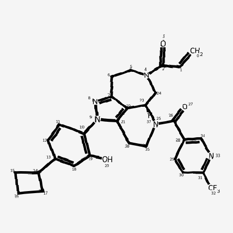 C=CC(=O)N1CCc2nn(-c3ccc(C4CCC4)cc3O)c3c2[C@H](C1)N(C(=O)c1ccc(C(F)(F)F)nc1)CC3